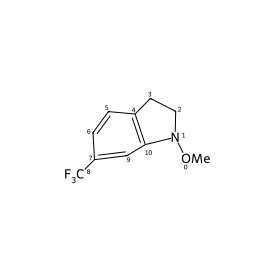 CON1CCc2ccc(C(F)(F)F)cc21